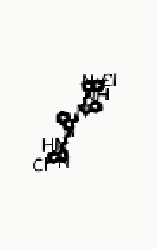 Clc1ccc2c(NCCCN(CCCCN(CCCNc3ccnc4cc(Cl)ccc34)Cc3ccccc3)Cc3ccccc3)ccnc2c1